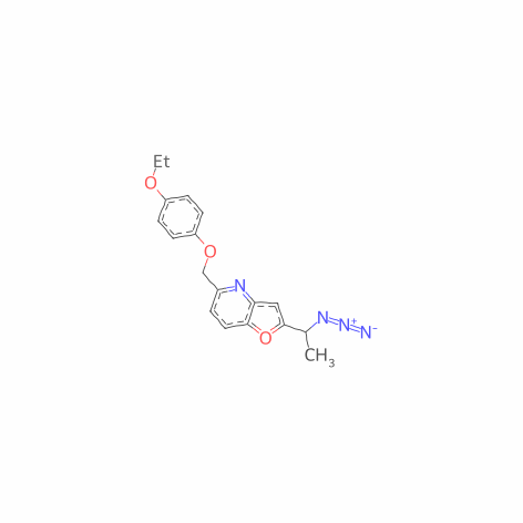 CCOc1ccc(OCc2ccc3oc(C(C)N=[N+]=[N-])cc3n2)cc1